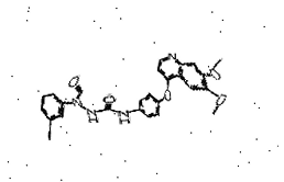 COc1cc2nccc(Oc3ccc(NC(=O)NN(C=O)c4cccc(C)c4)cc3)c2cc1OC